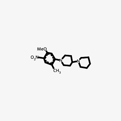 COc1cc(N2CCC(N3CCCCC3)CC2)c(C)cc1[N+](=O)[O-]